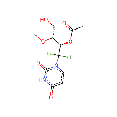 CO[C@H](CO)[C@@H](OC(C)=O)[C@](F)(Cl)n1ccc(=O)[nH]c1=O